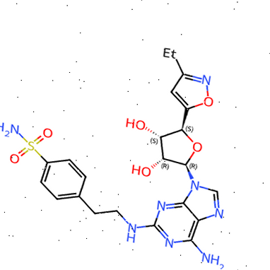 CCc1cc([C@H]2O[C@@H](n3cnc4c(N)nc(NCCc5ccc(S(N)(=O)=O)cc5)nc43)[C@H](O)[C@@H]2O)on1